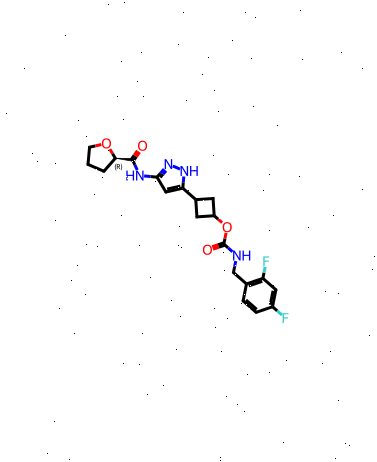 O=C(NCc1ccc(F)cc1F)OC1CC(c2cc(NC(=O)[C@H]3CCCO3)n[nH]2)C1